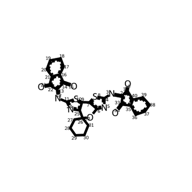 O=c1c(=Nc2nc3c(s2)-c2sc(N=c4c(=O)c5ccccc5c4=O)nc2C2(CCCCC2)O3)c(=O)c2ccccc12